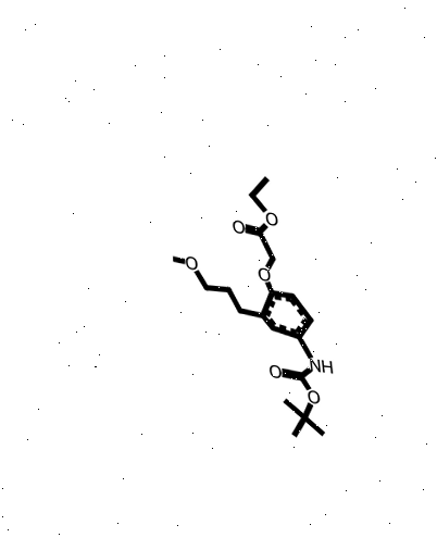 CCOC(=O)COc1ccc(NC(=O)OC(C)(C)C)cc1CCCOC